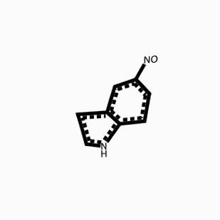 O=Nc1ccc2[nH]ccc2c1